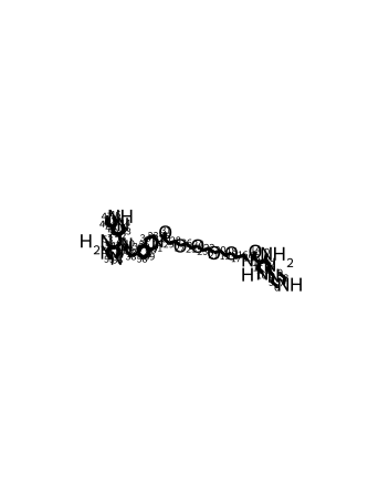 Nc1nc(N2CCNCC2)ncc1C(=O)NCCOCCOCCOCCOCCC(=O)N1CCc2cc(Cn3nc(-c4cnc5[nH]ccc5c4)c4c(N)ncnc43)ccc2C1